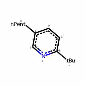 CCCCCc1ccc(C(C)(C)C)nc1